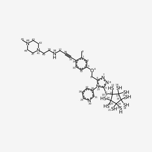 Cc1cc(OCc2nnc(SC3(S)C(S)(S)C(S)(S)C(S)(S)C3(S)S)n2-c2cccnc2)ccc1C#CCNCCN1CCN(C)CC1